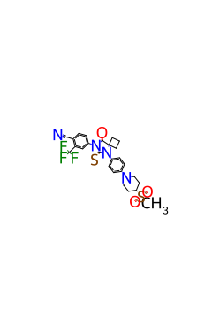 CS(=O)(=O)C1CCN(c2ccc(N3C(=S)N(c4ccc(C#N)c(C(F)(F)F)c4)C(=O)C34CCC4)cc2)CC1